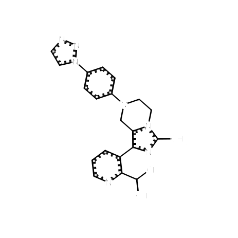 Cc1nc(-c2cccnc2C(C)C)c2n1CCN(c1ccc(-n3ccnn3)cc1)C2